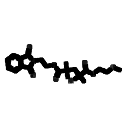 COCCOC(=O)C(C)(Br)CC(C)(C)C(=O)OCCN1C(=O)c2ccccc2C1=O